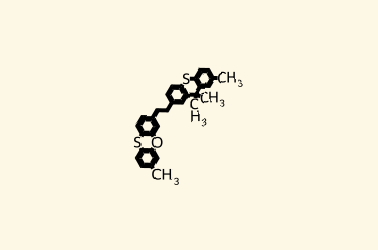 Cc1ccc2c(c1)Oc1cc(CCc3ccc4c(c3)C(C)(C)c3cc(C)ccc3S4)ccc1S2